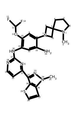 CN1CCCC12CN(c1cc(OC(F)F)c(Nc3nccc(-c4nn(C)c5ccsc45)n3)cc1N)C2